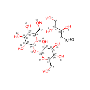 O=CC[C@H](O)[C@H](O)CO.OC[C@H]1O[C@H](O[C@H]2O[C@H](CO)[C@@H](O)[C@H](O)[C@H]2O)[C@H](O)[C@@H](O)[C@@H]1O